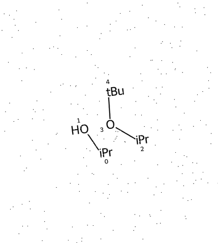 CC(C)O.CC(C)OC(C)(C)C